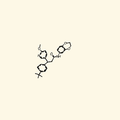 COc1ccc(C(CC(=O)Nc2ccc3c(c2)OCCO3)c2ccc(C(C)(C)C)cc2)cn1